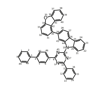 c1ccc(-c2ccc(-c3nc(-c4ccccc4)nc(-n4c5ccccc5c5ccc(-c6cccc7oc8ccccc8c67)cc54)n3)cc2)cc1